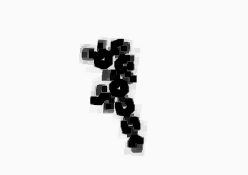 C=CC(=O)Nc1cc(Nc2cc(N3OCC[C@@H]3c3cccc(Cl)c3F)ncn2)c(OC)cc1N1CCC(N2CCN(C3COC3)CC2)CC1